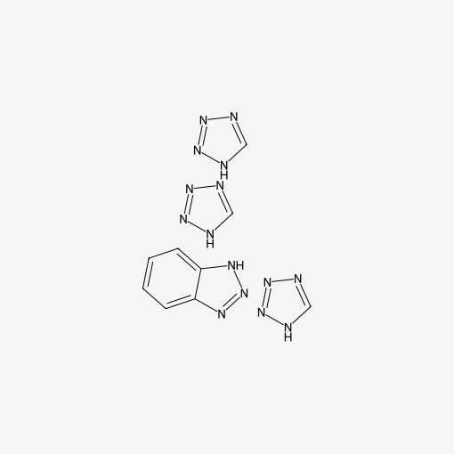 c1ccc2[nH]nnc2c1.c1nnn[nH]1.c1nnn[nH]1.c1nnn[nH]1